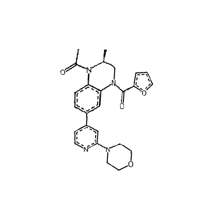 CC(=O)N1c2ccc(-c3ccnc(N4CCOCC4)c3)cc2N(C(=O)c2ccco2)C[C@@H]1C